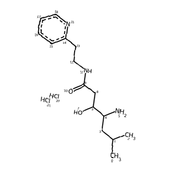 CC(C)CC(N)C(O)CC(=O)NCCc1ccccn1.Cl.Cl